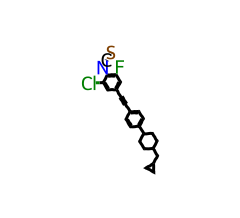 Fc1cc(C#Cc2ccc(C3CCC(CC4CC4)CC3)cc2)cc(Cl)c1N=C=S